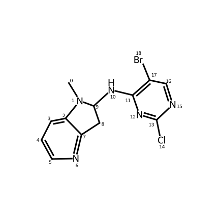 CN1c2cccnc2CC1Nc1nc(Cl)ncc1Br